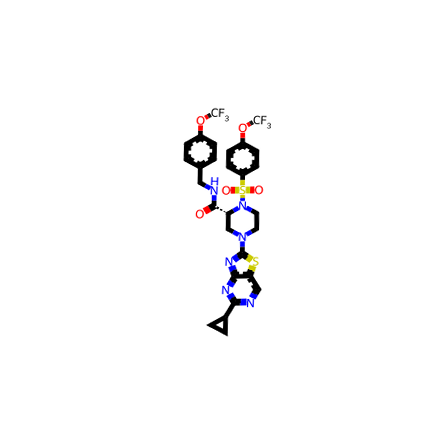 O=C(NCc1ccc(OC(F)(F)F)cc1)[C@H]1CN(c2nc3nc(C4CC4)ncc3s2)CCN1S(=O)(=O)c1ccc(OC(F)(F)F)cc1